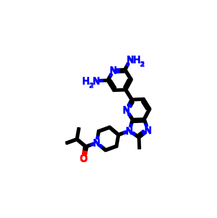 Cc1nc2ccc(-c3cc(N)nc(N)c3)nc2n1C1CCN(C(=O)C(C)C)CC1